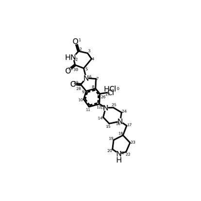 Cl.O=C1CCC(N2Cc3c(ccc(N4CCN(CC5CCNCC5)CC4)c3Cl)C2=O)C(=O)N1